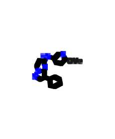 COc1ccc(Nc2ccn3ncc(-c4ccccc4)c3n2)cn1